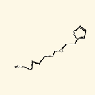 CCCCCCCCCCCCCCOCCc1cc[c]s1